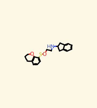 c1ccc2c(c1)CC(NCCOSc1cccc3c1OCCC3)C2